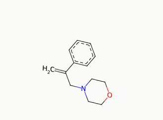 C=C(CN1CCOCC1)c1ccccc1